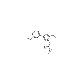 CCc1cccc(-c2cc(CC)n(CC(=O)OC)n2)c1